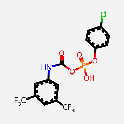 O=C(Nc1cc(C(F)(F)F)cc(C(F)(F)F)c1)OP(=O)(O)Oc1ccc(Cl)cc1